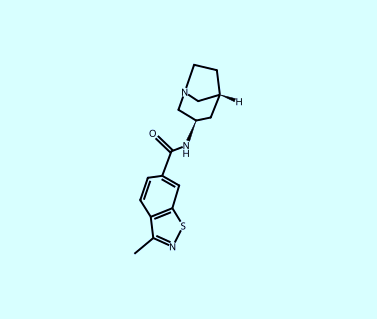 Cc1nsc2cc(C(=O)N[C@@H]3C[C@H]4CCN(C4)C3)ccc12